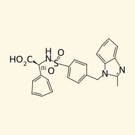 Cc1nc2ccccc2n1Cc1ccc(S(=O)(=O)N[C@H](C(=O)O)c2ccccc2)cc1